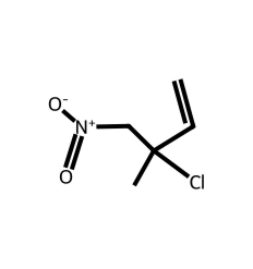 C=CC(C)(Cl)C[N+](=O)[O-]